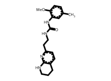 COc1ccc(C)cc1NC(=O)NCCc1ccc2c(n1)NCCC2